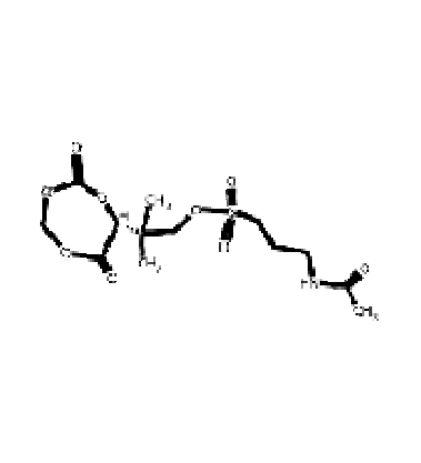 CC(=O)NCCCS(=O)(=O)OCC(C)(C)[C@H]1OC(=O)OCOC1=O